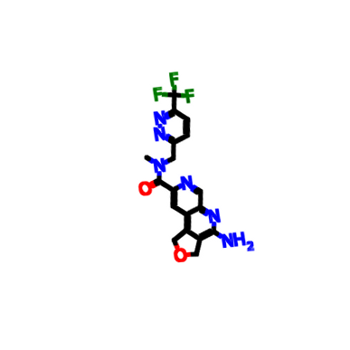 CN(Cc1ccc(C(F)(F)F)nn1)C(=O)c1cc2c3c(c(N)nc2cn1)COC3